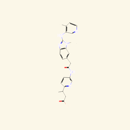 Cc1ccncc1Nc1nc2ccc(CC(=O)Nc3ccc(C(C)CC(=O)O)nc3)cc2n1C